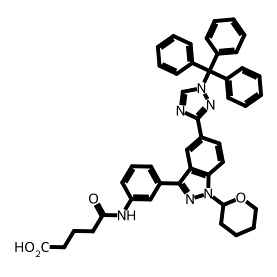 O=C(O)CCCC(=O)Nc1cccc(-c2nn(C3CCCCO3)c3ccc(-c4ncn(C(c5ccccc5)(c5ccccc5)c5ccccc5)n4)cc23)c1